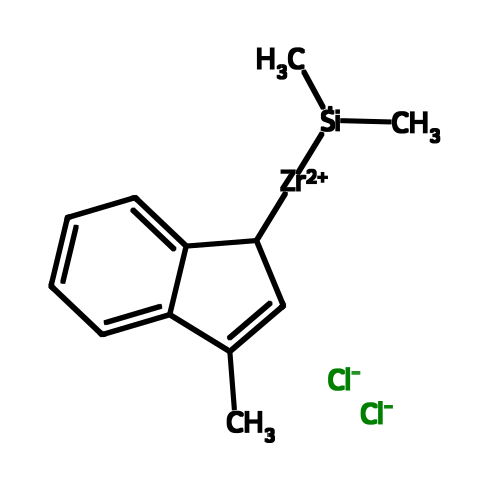 CC1=C[CH]([Zr+2][Si](C)C)c2ccccc21.[Cl-].[Cl-]